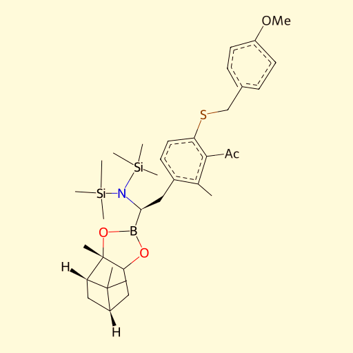 COc1ccc(CSc2ccc(C[C@@H](B3OC4C[C@@H]5C[C@@H](C5(C)C)[C@]4(C)O3)N([Si](C)(C)C)[Si](C)(C)C)c(C)c2C(C)=O)cc1